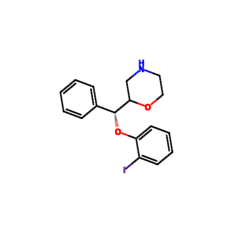 Ic1ccccc1O[C@H](c1ccccc1)C1CNCCO1